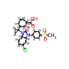 CS(=O)(=O)c1ccc(-n2c(=O)n(C3(c4cccc(C(=O)O)c4)CC3)c3ccc(Cl)cc32)cc1